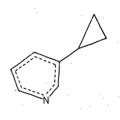 [c]1ccc(C2CC2)cn1